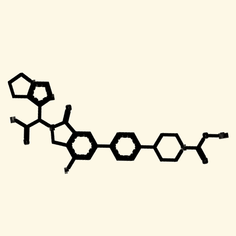 [Li][C](=O)C(c1ncn2c1CCC2)N1Cc2c(F)cc(-c3ccc(C4CCN(C(=O)OC(C)(C)C)CC4)cc3)cc2C1=O